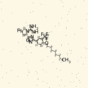 CCCCCCCCOc1ccc(-c2noc([C@@H]3C[C@@H](F)CN3C(=N)N)n2)cc1C(F)(F)F